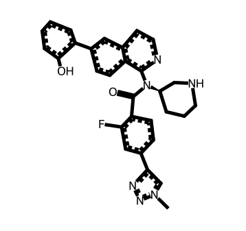 Cn1cc(-c2ccc(C(=O)N(c3nccc4cc(-c5ccccc5O)ccc34)[C@@H]3CCCNC3)c(F)c2)nn1